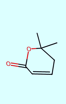 CC1(C)CC=CC(=O)O1